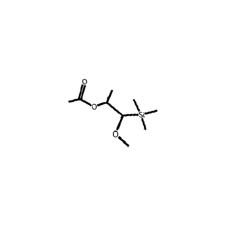 COC(C(C)OC(C)=O)[Si](C)(C)C